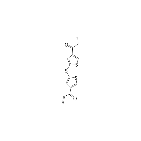 C=CC(=O)c1csc(Sc2cc(C(=O)C=C)cs2)c1